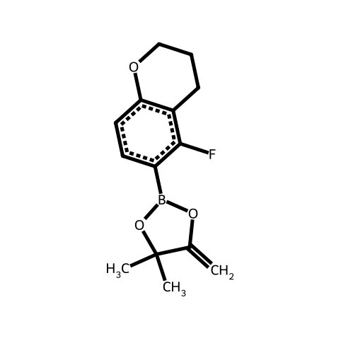 C=C1OB(c2ccc3c(c2F)CCCO3)OC1(C)C